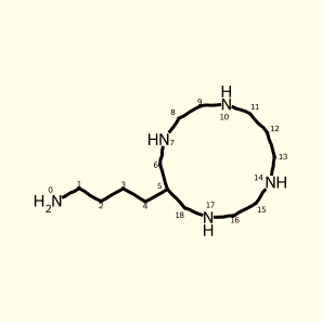 NCCCCC1CNCCNCCCNCCNC1